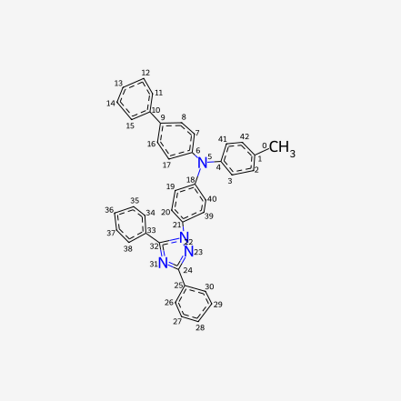 Cc1ccc(N(c2ccc(-c3ccccc3)cc2)c2ccc(-n3nc(-c4ccccc4)nc3-c3ccccc3)cc2)cc1